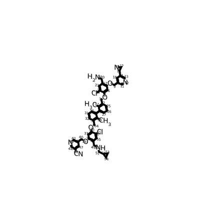 Cc1c(COc2cc(OCc3cncc(C4=NC4)c3)c(CN)cc2Cl)cccc1-c1cccc(COc2cc(OCc3cncc(C#N)c3)c(CNCC3CC3)cc2Cl)c1C